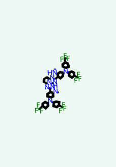 CNc1cc(N(c2ccc(C(F)(F)F)cc2)c2ccc(C(F)(F)F)cc2)ccc1C1=NC2=CC=CC3=NC(c4ccc(N(c5ccc(C(F)(F)F)cc5)c5ccc(C(F)(F)F)cc5)cc4NC)=NC(=N1)N23